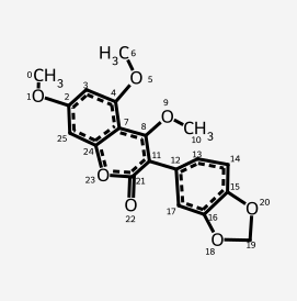 COc1cc(OC)c2c(OC)c(-c3ccc4c(c3)OCO4)c(=O)oc2c1